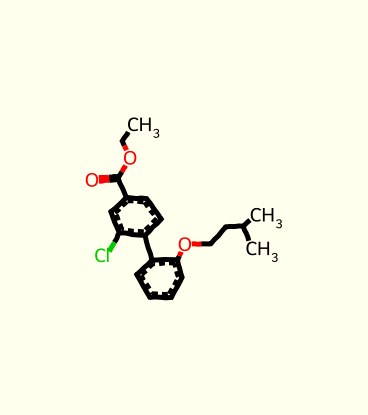 CCOC(=O)c1ccc(-c2ccccc2OCCC(C)C)c(Cl)c1